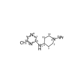 CC(C)N1CCC(Nc2cncc(Cl)n2)CC1